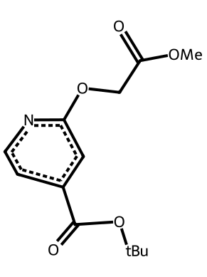 COC(=O)COc1cc(C(=O)OC(C)(C)C)ccn1